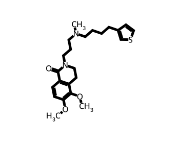 COc1ccc2c(c1OC)CCN(CCCN(C)CCCCc1ccsc1)C2=O